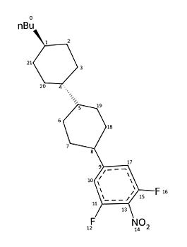 CCCC[C@H]1CC[C@H](C2CCC(c3cc(F)c([N+](=O)[O-])c(F)c3)CC2)CC1